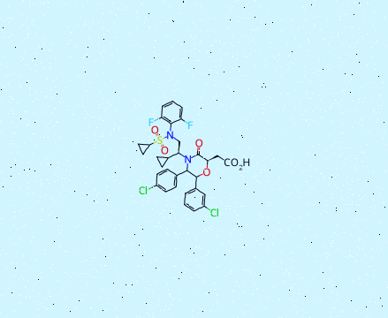 O=C(O)C[C@H]1OC(c2cccc(Cl)c2)C(c2ccc(Cl)cc2)N([C@H](CN(c2c(F)cccc2F)S(=O)(=O)C2CC2)C2CC2)C1=O